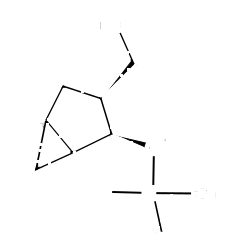 CC(C)(C)[Si](C)(C)O[C@H]1C2CC2C[C@H]1CO